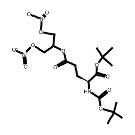 CC(C)(C)OC(=O)N[C@@H](CCC(=O)OC(CO[N+](=O)[O-])CO[N+](=O)[O-])C(=O)OC(C)(C)C